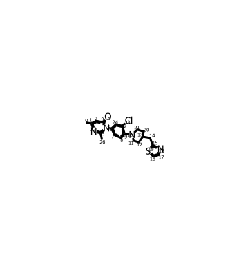 Cc1cc(=O)n(-c2ccc(N3CCC(Cc4nccs4)CC3)c(Cl)c2)c(C)n1